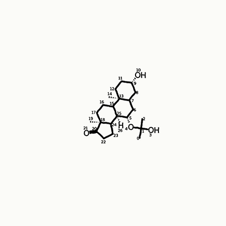 CC(C)(O)O[C@H]1CC2C[C@@H](O)CC[C@]2(C)C2CC[C@]3(C)C(=O)CCC3[C@@H]21